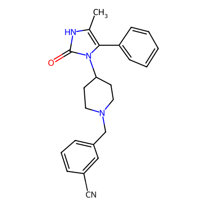 Cc1[nH]c(=O)n(C2CCN(Cc3cccc(C#N)c3)CC2)c1-c1ccccc1